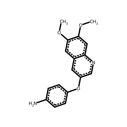 COc1cc2cc(Oc3ccc(N)cc3)cnc2cc1OC